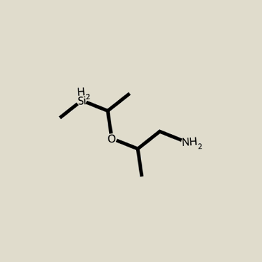 C[SiH2]C(C)OC(C)CN